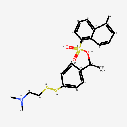 Cc1cccc2c(S(=O)(=O)OC(c3ccc(SSCCN(C)C)cc3)C(F)(F)F)cccc12